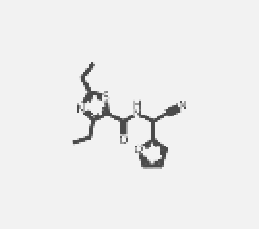 CCc1nc(CC)c(C(=O)NC(C#N)c2ccco2)s1